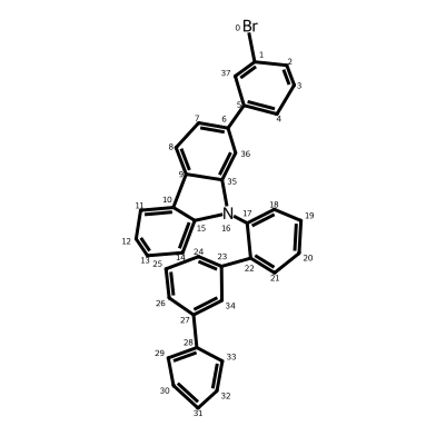 Brc1cccc(-c2ccc3c4ccccc4n(-c4ccccc4-c4cccc(-c5ccccc5)c4)c3c2)c1